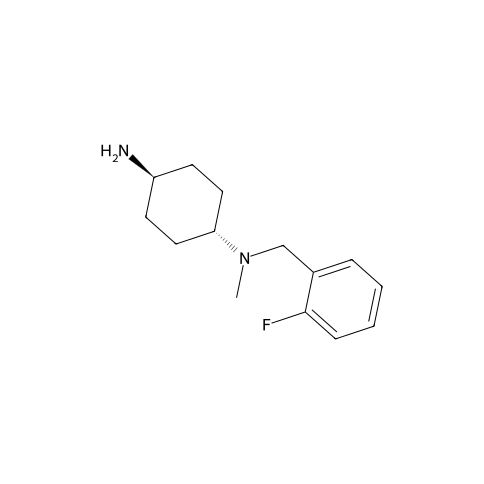 CN(Cc1ccccc1F)[C@H]1CC[C@H](N)CC1